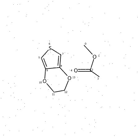 COC(C)=O.c1scc2c1OCCO2